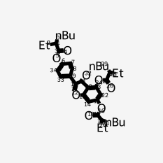 CCCCC(CC)C(=O)Oc1ccc(-c2coc3cc(OC(=O)C(CC)CCCC)cc(OC(=O)C(CC)CCCC)c3c2=O)cc1